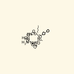 CCCCCC[C@H]1OC(=O)CNC(=O)[C@H]([C@H](C)O)NC(=O)[C@H](CN)NC(=O)[C@H](C2CCCCC2)NC(=O)[C@H](CC(C)C)N(C)C(=O)[C@@H]1CCc1ccc(-c2ccccc2)cc1